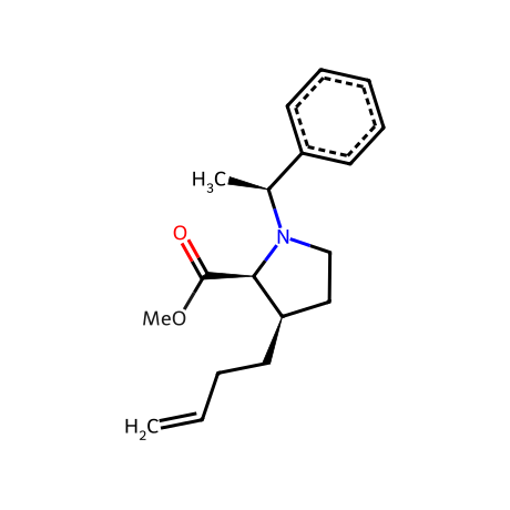 C=CCC[C@@H]1CCN([C@@H](C)c2ccccc2)[C@@H]1C(=O)OC